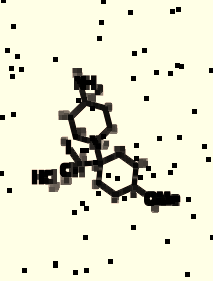 COC1CCC(CI)(N2CCC(N)CC2)CC1.Cl.Cl